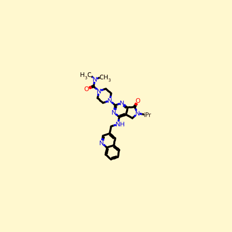 CC(C)N1Cc2c(NCc3cnc4ccccc4c3)nc(N3CCN(C(=O)N(C)C)CC3)nc2C1=O